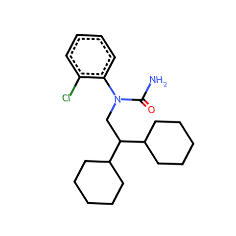 NC(=O)N(CC(C1CCCCC1)C1CCCCC1)c1ccccc1Cl